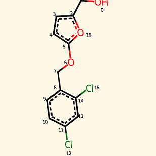 OCc1ccc(OCc2ccc(Cl)cc2Cl)o1